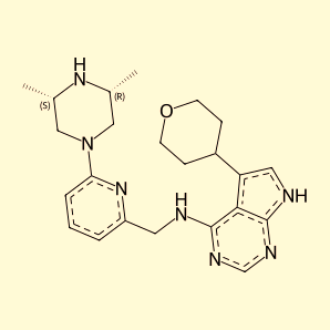 C[C@@H]1CN(c2cccc(CNc3ncnc4[nH]cc(C5CCOCC5)c34)n2)C[C@H](C)N1